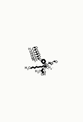 [CH2]C(CCCCCCCCC)(OC=C(C)C(=O)O)Oc1ccccc1.[CH2]C[O].[CH2]C[O].[CH2]C[O].[CH2]C[O].[CH2]C[O].[CH2]C[O].[CH2]C[O].[CH2]C[O]